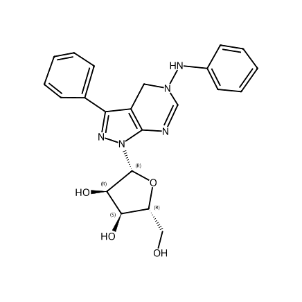 OC[C@H]1O[C@@H](n2nc(-c3ccccc3)c3c2N=CN(Nc2ccccc2)C3)[C@H](O)[C@@H]1O